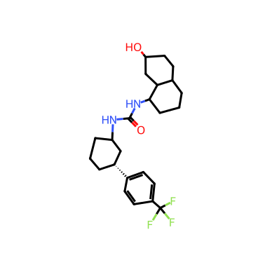 O=C(NC1CCC[C@@H](c2ccc(C(F)(F)F)cc2)C1)NC1CCCC2CCC(O)CC21